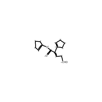 O=CCC=C(C(=O)OC1=CCCC1)C1=CCCC1